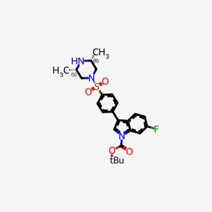 C[C@@H]1CN(S(=O)(=O)c2ccc(-c3cn(C(=O)OC(C)(C)C)c4cc(F)ccc34)cc2)C[C@H](C)N1